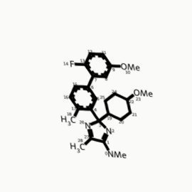 CNC1=NC(c2cc(-c3cc(OC)ccc3F)ccc2C)(C2CCC(OC)CC2)N=C1C